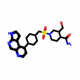 NC(=O)C1CCN(S(=O)(=O)CC2CCC(c3ccnc4cnc5[nH]ccc5c34)CC2)CC1C[O]